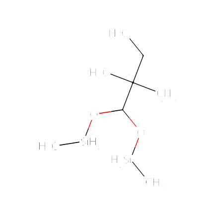 CCC(C)(C)C(O[SiH2]C)O[SiH2]C